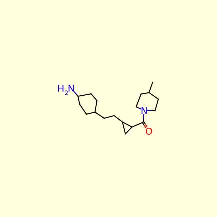 CC1CCN(C(=O)C2CC2CCC2CCC(N)CC2)CC1